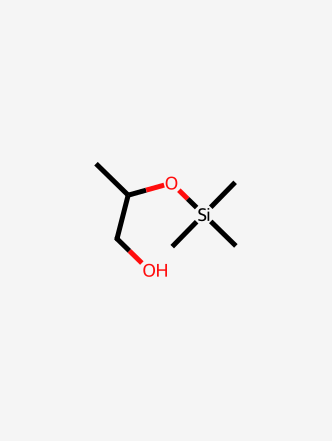 CC(CO)O[Si](C)(C)C